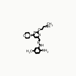 CNCCOc1nc(/C=N/Nc2cc(C)ccc2N)cc(N2CCOCC2)n1